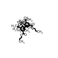 CCCOC(=O)c1cc(C(C)(C)C)c(P(O)(O)(Cl)c2c(C(C)(C)C)cc(C(=O)OCCC)cc2C(C)(C)C)c(C(C)(C)C)c1